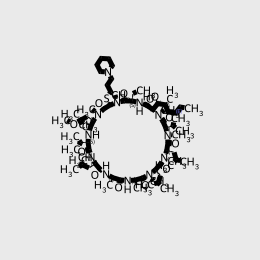 C/C=C/C[C@@H](C)[C@@H](O)[C@H]1C(=O)N[C@@H](CC)C(=O)N(C)[C@H](SCCCN2CCCCC2)C(=O)N(C)[C@@H](CC(C)(C)OC)C(=O)N[C@@H](C(C)C)C(=O)N(C)[C@@H](CC(C)C)C(=O)N[C@@H](C)C(=O)N[C@H](C)C(=O)N(C)[C@@H](CC(C)C)C(=O)N(C)[C@@H](CC(C)C)C(=O)N(C)[C@@H](C(C)C)C(=O)N1C